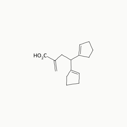 C=C(CC(C1=CCCC1)C1=CCCC1)C(=O)O